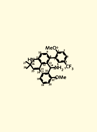 COc1ccc(C(F)(F)F)cc1-c1ccc2c(c1C(N)c1ccccc1OC)C(C)=CC(C)(C)N2